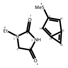 CCN1CC(=O)NC1=O.CSc1cc2cc-2c1